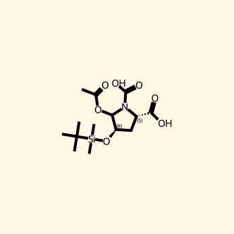 CC(=O)OC1[C@H](O[Si](C)(C)C(C)(C)C)C[C@@H](C(=O)O)N1C(=O)O